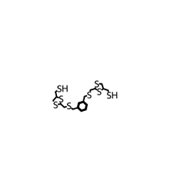 SCC1CSC(CSCc2cccc(CSCC3SCC(CS)S3)c2)S1